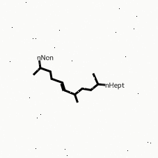 [CH2]CCCCCCCCC(C)CC/C=C/C(C)CCC(C)CCCCCC[CH2]